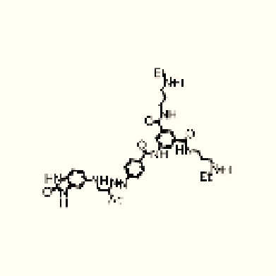 CCN(CC)CCCNC(=O)c1cc(NC(=O)c2ccc(/N=N/C(CNc3ccc4[nH]c(=O)[nH]c4c3)C(C)=O)cc2)cc(C(=O)NCCCN(CC)CC)c1